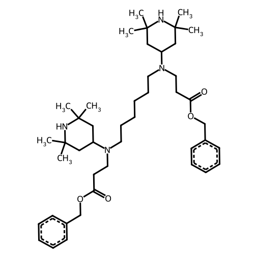 CC1(C)CC(N(CCCCCCN(CCC(=O)OCc2ccccc2)C2CC(C)(C)NC(C)(C)C2)CCC(=O)OCc2ccccc2)CC(C)(C)N1